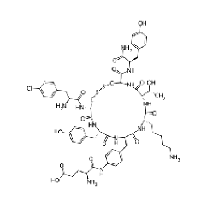 C[C@@H](O)[C@@H]1NC(=O)[C@H](CCCCCN)NC(=O)[C@@H](Cc2ccc(NC(=O)[C@@H](N)CCC(=O)O)cc2)NC(=O)[C@H](Cc2ccc(O)cc2)NC(=O)[C@H](NC(=O)[C@@H](N)Cc2ccc(Cl)cc2)CSSC[C@@H](C(=O)N[C@H](Cc2ccc(O)cc2)C(N)=O)NC1=O